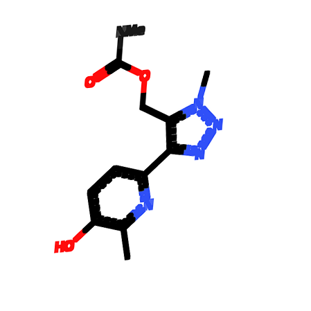 CNC(=O)OCc1c(-c2ccc(O)c(C)n2)nnn1C